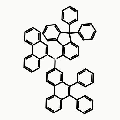 c1ccc(-c2c(-c3ccccc3)c3cc(N(c4cccc5c4-c4ccccc4C5(c4ccccc4)c4ccccc4)c4cc5ccccc5c5ccccc45)ccc3c3ccccc23)cc1